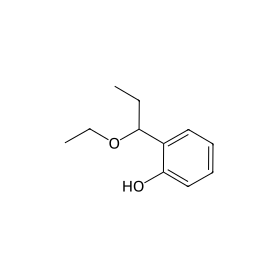 CCOC(CC)c1ccccc1O